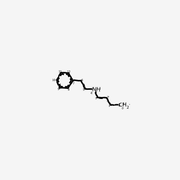 [CH2]CCCNCCc1ccccc1